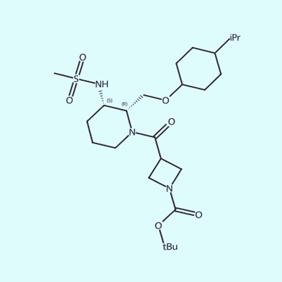 CC(C)C1CCC(OC[C@H]2[C@@H](NS(C)(=O)=O)CCCN2C(=O)C2CN(C(=O)OC(C)(C)C)C2)CC1